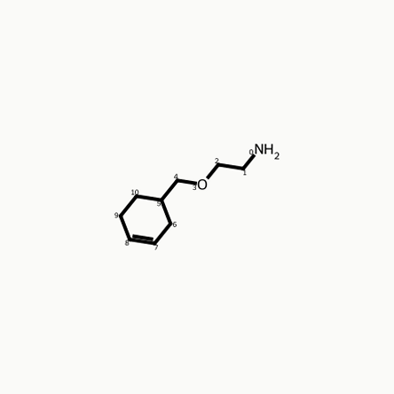 NCCOCC1CC=CCC1